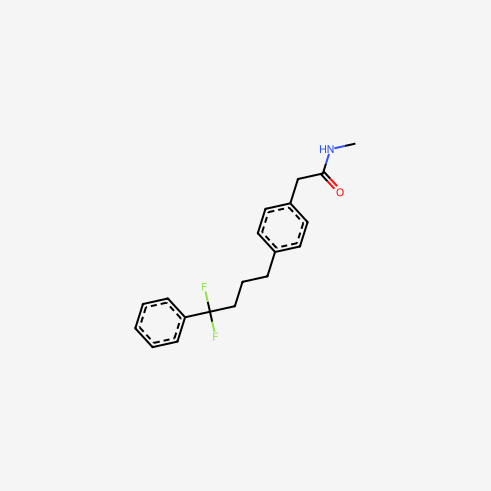 CNC(=O)Cc1ccc(CCCC(F)(F)c2ccccc2)cc1